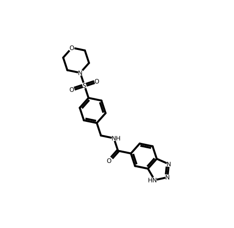 O=C(NCc1ccc(S(=O)(=O)N2CCOCC2)cc1)c1ccc2nn[nH]c2c1